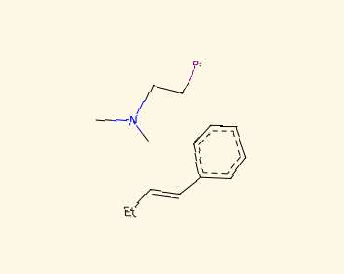 CCC=Cc1ccccc1.CN(C)CC[P]